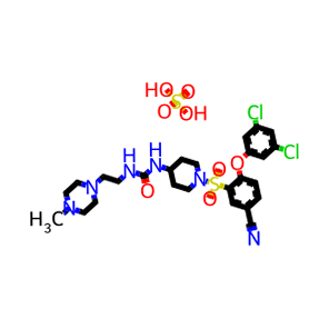 CN1CCN(CCNC(=O)NC2CCN(S(=O)(=O)c3cc(C#N)ccc3Oc3cc(Cl)cc(Cl)c3)CC2)CC1.O=S(=O)(O)O